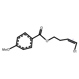 CC/C=C\CCOC(=O)c1ccc(OC)cc1